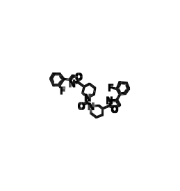 O=C(N1CCCC(c2nc(-c3ccccc3F)co2)C1)N1CCCC(c2nc(-c3ccccc3F)co2)C1